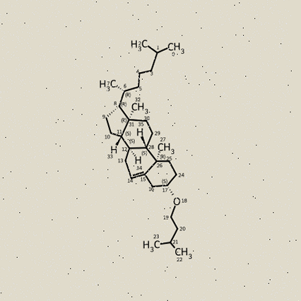 CC(C)CCC[C@@H](C)[C@H]1CC[C@H]2[C@@H]3CC=C4C[C@@H](OCCC(C)C)CC[C@]4(C)[C@H]3CC[C@]12C